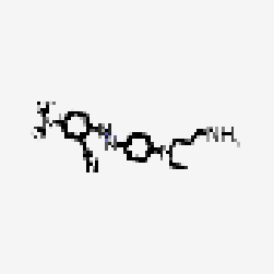 CCN(CCCN)c1ccc(/N=N/c2ccc([N+](=O)[O-])cc2C#N)cc1